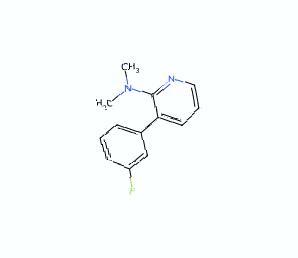 CN(C)c1nc[c]cc1-c1cccc(F)c1